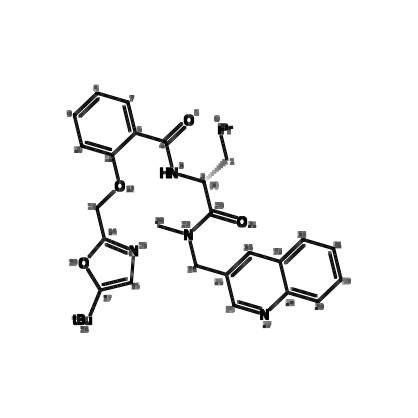 CC(C)C[C@@H](NC(=O)c1ccccc1OCc1ncc(C(C)(C)C)o1)C(=O)N(C)Cc1cnc2ccccc2c1